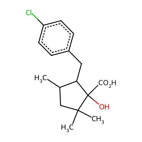 CC1CC(C)(C)C(O)(C(=O)O)C1Cc1ccc(Cl)cc1